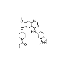 C=CC(=O)N1CCC(Oc2cc3c(Nc4ccc5cnn(C)c5c4)ncnc3cc2OC)CC1